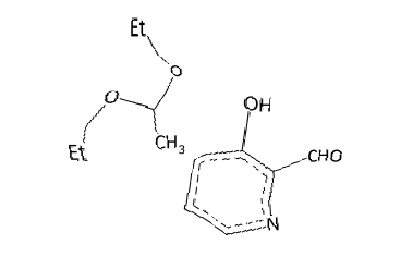 CCOC(C)OCC.O=Cc1ncccc1O